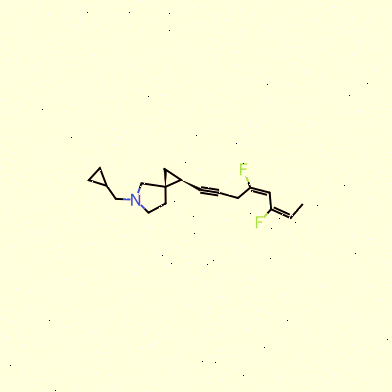 C/C=C(F)\C=C(\F)CC#C[C@@H]1C[C@]12CCN(CC1CC1)C2